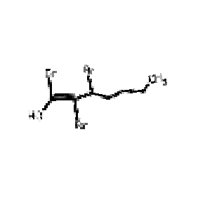 CCCCC(Br)C(Br)=C(O)Br